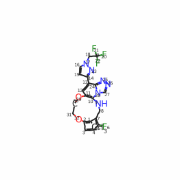 Cc1c2ccc(F)c1CNc1c(cc(-c3ccn(CC(F)(F)F)n3)c3nncn13)OCCO2